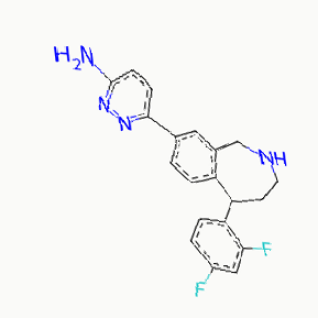 Nc1ccc(-c2ccc3c(c2)CNCCC3c2ccc(F)cc2F)nn1